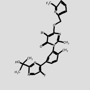 Cc1ccc(-c2nc(C(C)(C)O)ncc2F)cc1-n1c(C)nc(OCc2cccc(C(F)(F)F)n2)c(Br)c1=O